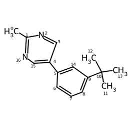 Cc1ncc(-c2cccc(C(C)(C)C)c2)cn1